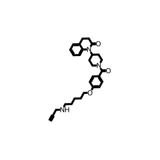 C#CCNCCCCCOc1ccc(C(=O)N2CCC(N3C(=O)CCc4ccccc43)CC2)cc1